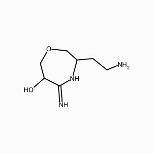 N=C1NC(CCN)COCC1O